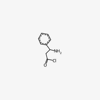 NC(CC(=O)Cl)c1ccccc1